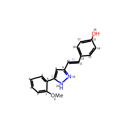 COc1ccccc1-c1cc(/C=C/c2ccc(O)cc2)n[nH]1